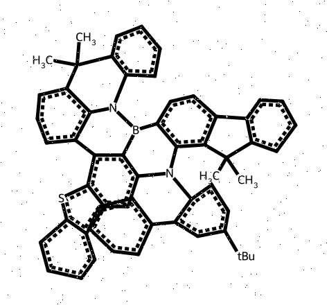 CC(C)(C)c1ccc(N2c3cc4c(sc5ccccc54)c4c3B(c3ccc5c(c32)C(C)(C)c2ccccc2-5)N2c3ccccc3C(C)(C)c3cccc-4c32)c(-c2ccccc2)c1